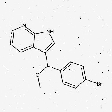 COC(c1ccc(Br)cc1)c1c[nH]c2ncccc12